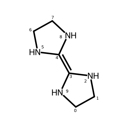 C1CNC(=C2NCCN2)N1